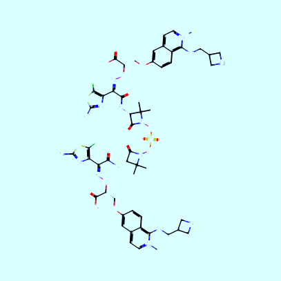 C[n+]1ccc2cc(OC[C@H](O/N=C(\C(=O)N[C@@H]3C(=O)N(OS(=O)(=O)ON4C(=O)[C@@H](NC(=O)/C(=N\O[C@@H](COc5ccc6c(NCC7CNC7)[n+](C)ccc6c5)C(=O)O)c5nc(N)sc5Cl)C4(C)C)C3(C)C)c3nc(N)sc3Cl)C(=O)O)ccc2c1NCC1CNC1